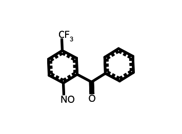 O=Nc1ccc(C(F)(F)F)cc1C(=O)c1ccccc1